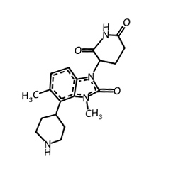 Cc1ccc2c(c1C1CCNCC1)n(C)c(=O)n2C1CCC(=O)NC1=O